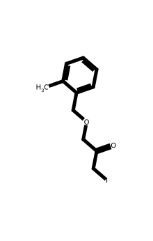 Cc1ccccc1COCC(=O)CI